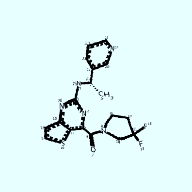 C[C@H](Nc1nc(C(=O)N2CCC(F)(F)C2)c2sccc2n1)c1cccnc1